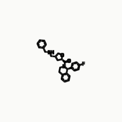 O=C([C@H]1CC(CNCc2ccccc2)CO1)N1CCc2ccccc2[C@@H]1c1ccc(F)cc1